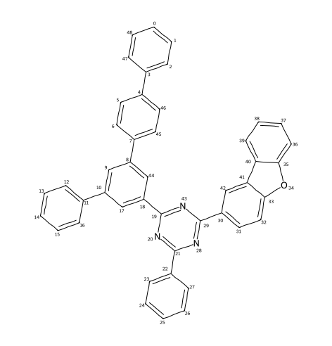 c1ccc(-c2ccc(-c3cc(-c4ccccc4)cc(-c4nc(-c5ccccc5)nc(-c5ccc6oc7ccccc7c6c5)n4)c3)cc2)cc1